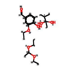 CC(C)C(C)(O)O.CCOC(C)OCC.CCOc1cc(C=O)ccc1O